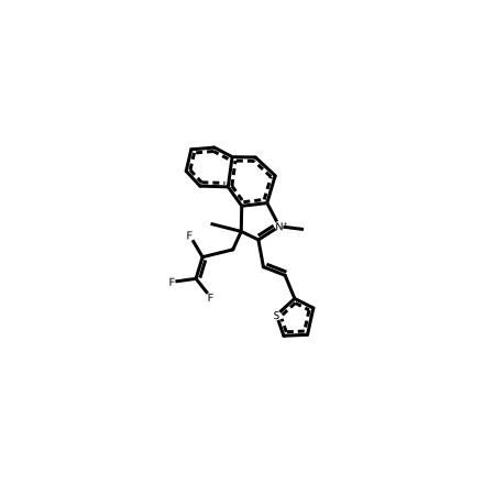 C[N+]1=C(/C=C/c2cccs2)C(C)(CC(F)=C(F)F)c2c1ccc1ccccc21